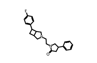 O=C1CC(c2ccccc2)CN1CCN1CC2CC(c3ccc(F)cc3)C2C1